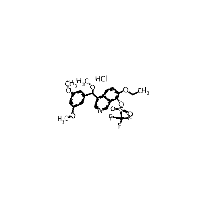 CCOc1ccc2c(C(OC)c3cc(OC)cc(OC)c3)cncc2c1OS(=O)(=O)C(F)(F)F.Cl